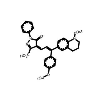 CCCCCCCCN1CCCc2cc(/C(=C/C=C3\C(=O)N(c4ccccc4)N=C3C(=O)O)c3ccc(OCCCC)cc3)ccc21